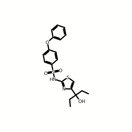 CCC(O)(CC)c1csc(NS(=O)(=O)c2ccc(Oc3ccccc3)cc2)n1